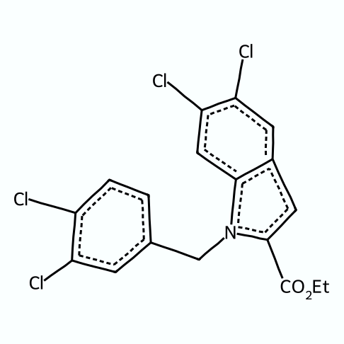 CCOC(=O)c1cc2cc(Cl)c(Cl)cc2n1Cc1ccc(Cl)c(Cl)c1